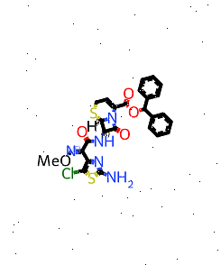 CO/N=C(/C(=O)N[C@@H]1C(=O)N2C(C(=O)OC(c3ccccc3)c3ccccc3)=CCS[C@H]12)c1nc(N)sc1Cl